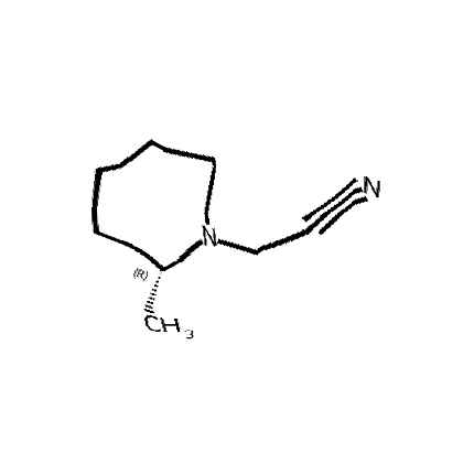 C[C@@H]1CCCCN1CC#N